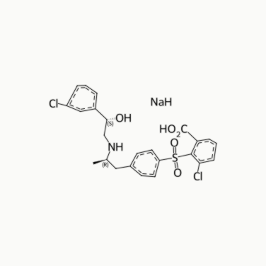 C[C@H](Cc1ccc(S(=O)(=O)c2c(Cl)cccc2C(=O)O)cc1)NC[C@@H](O)c1cccc(Cl)c1.[NaH]